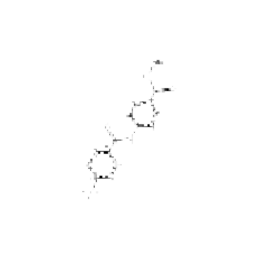 CCCCOC(=O)c1ccc(OC(=O)c2ccc([N+](=O)[O-])cc2)cc1